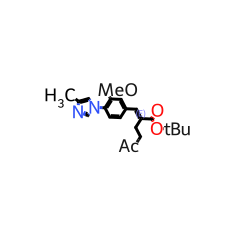 COc1cc(/C=C(\CCC(C)=O)C(=O)OC(C)(C)C)ccc1-n1cnc(C)c1